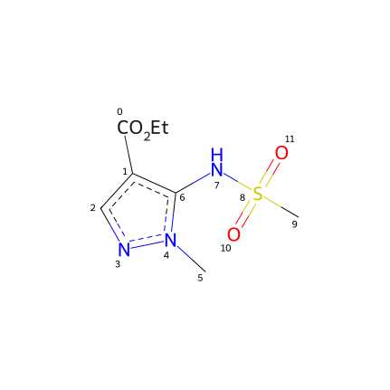 CCOC(=O)c1cnn(C)c1NS(C)(=O)=O